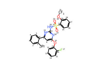 CC(C)c1ccccc1-c1cc(Oc2ccccc2F)nc(NS(=O)(=O)c2ccccc2OC(F)(F)F)n1